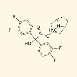 CN1C2CCC1CC(OC(=O)C(O)(c1ccc(F)c(F)c1)c1ccc(F)c(F)c1)C2